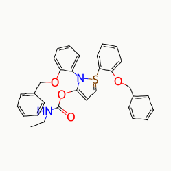 CCNC(=O)OC1=CC=S(c2ccccc2OCc2ccccc2)N1c1ccccc1OCc1ccccc1